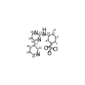 Cc1ccc(S(=O)(=O)Cl)cc1Nc1nccc(-c2cccnc2)n1